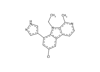 CCn1c2c(-c3cn[nH]c3)cc(Cl)cc2c2ccnc(C)c21